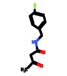 CC(=O)CC(=O)NCc1ccc(F)cc1